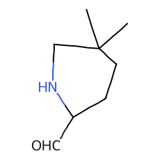 CC1(C)CCC(C=O)NC1